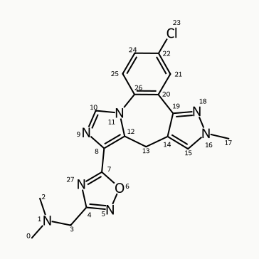 CN(C)Cc1noc(-c2ncn3c2Cc2cn(C)nc2-c2cc(Cl)ccc2-3)n1